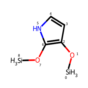 [SiH3]Oc1cc[nH]c1O[SiH3]